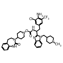 CN1CCC(Cn2c(C(Cc3cc(Cl)c(N)c(C(F)(F)F)c3)NC(=O)ON3CCC(N4CCc5ccccc5NC4=O)CC3)nc3ccccc32)CC1